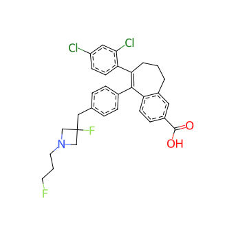 O=C(O)c1ccc2c(c1)CCCC(c1ccc(Cl)cc1Cl)=C2c1ccc(CC2(F)CN(CCCF)C2)cc1